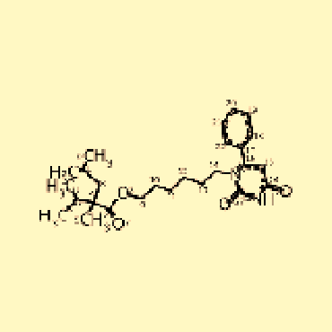 CC(C)CC(C)(C(=O)OCCCCCCn1c(-c2ccccc2)cc(=O)[nH]c1=O)C(C)C